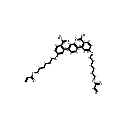 C=CC(=O)OCCCCCCOc1ccc(C(=O)O)c(-c2ccc(-c3cc(OCCCCCCOC(=O)C=C)ccc3C(=O)O)cc2)c1